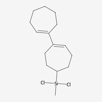 C[Si](Cl)(Cl)C1CCC=C(C2=CCCCCC2)CC1